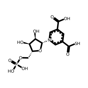 O=C(O)c1cc(C(=O)S)c[n+]([C@@H]2O[C@H](COP(=O)(O)O)[C@@H](O)[C@H]2O)c1